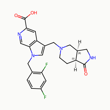 O=C(O)c1cc2c(CN3CC[C@@H]4C(=O)NC[C@@H]4C3)cn(Cc3ccc(F)cc3F)c2cn1